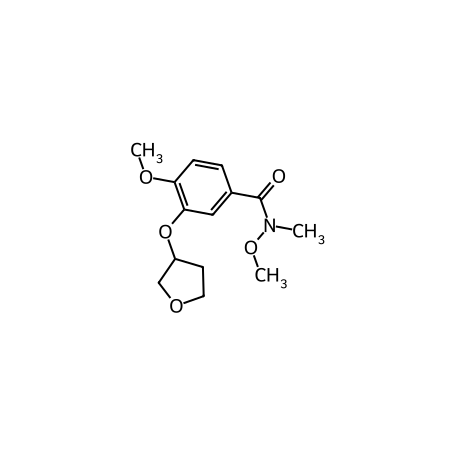 COc1ccc(C(=O)N(C)OC)cc1OC1CCOC1